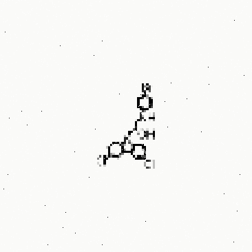 OC(CNc1ccc(Br)cc1)Cn1c2c(c3cc(Cl)ccc31)C=C(Cl)CC2